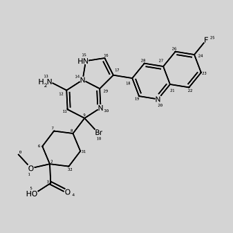 COC1(C(=O)O)CCC(C2(Br)C=C(N)N3NC=C(c4cnc5ccc(F)cc5c4)C3=N2)CC1